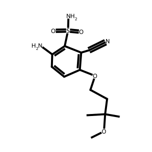 COC(C)(C)CCOc1ccc(N)c(S(N)(=O)=O)c1C#N